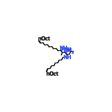 CCCCCCCC/C=C\CCCCCCCCNC(CC(C)N)C(N)C(C)C(N)CCCCCCCC/C=C\CCCCCCCC